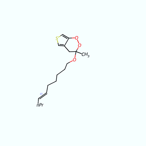 CCC/C=C/CCCCCOC1(C)Cc2cscc2OO1